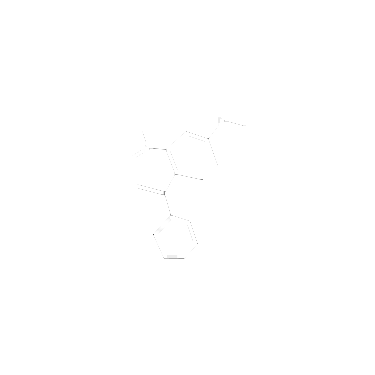 O=C(c1ccccc1)c1ccc(NF)cc1[N+](=O)[O-]